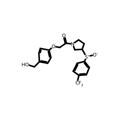 O=C(COc1ccc(CO)cc1)N1CCC([S+]([O-])c2ccc(C(F)(F)F)cc2)C1